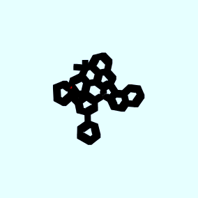 CC1(C)c2ccccc2-c2c3c1cccc3cc1c3c4ccccc4ccc3n(-c3cc(-c4ccccc4)cc(-c4ccccc4)c3)c21